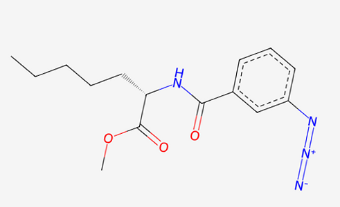 CCCCC[C@H](NC(=O)c1cccc(N=[N+]=[N-])c1)C(=O)OC